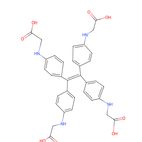 O=C(O)CNc1ccc(C(=C(c2ccc(NCC(=O)O)cc2)c2ccc(NCC(=O)O)cc2)c2ccc(NCC(=O)O)cc2)cc1